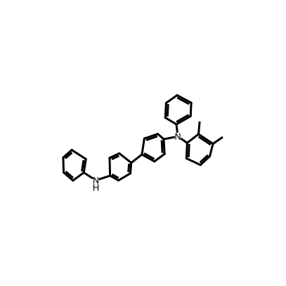 Cc1cccc(N(c2ccccc2)c2ccc(-c3ccc(Nc4ccccc4)cc3)cc2)c1C